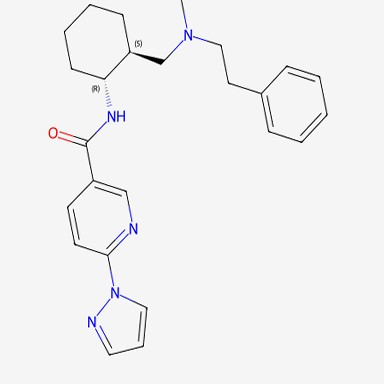 CN(CCc1ccccc1)C[C@@H]1CCCC[C@H]1NC(=O)c1ccc(-n2cccn2)nc1